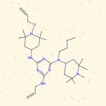 C=CCNc1nc(NC2CC(C)(C)N(OCC=C)C(C)(C)C2)nc(N(CCCC)C2CC(C)(C)N(C)C(C)(C)C2)n1